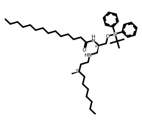 CCCCCCCCCCCCCC(=O)N[C@H](CNCC[C@H](C)CCCCCCC)CO[Si](c1ccccc1)(c1ccccc1)C(C)(C)C